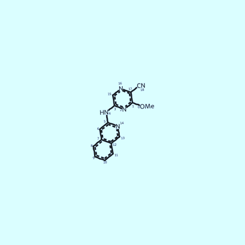 COc1nc(Nc2cc3ccccc3cn2)cnc1C#N